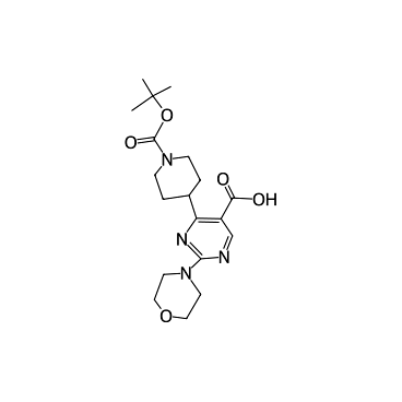 CC(C)(C)OC(=O)N1CCC(c2nc(N3CCOCC3)ncc2C(=O)O)CC1